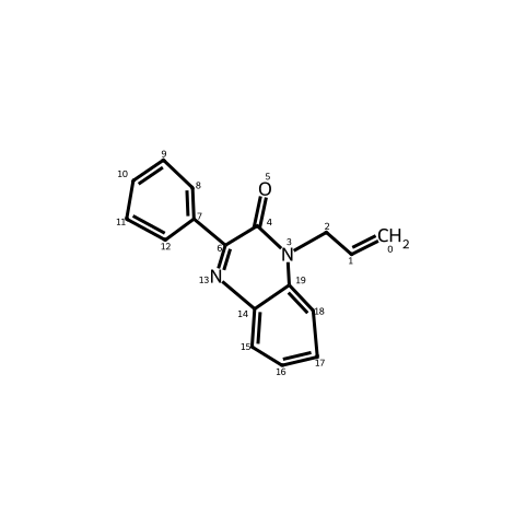 C=CCn1c(=O)c(-c2ccccc2)nc2ccccc21